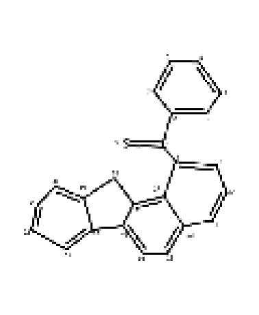 S=C(c1ccccc1)c1cccc2ccc3c(c12)Cc1ccccc1-3